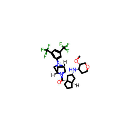 CO[C@@H]1COCC[C@@H]1N[C@@H]1C[C@H]2CCC[C@@]2(C(=O)N2C[C@@H]3C[C@H]2CN3c2cc(C(F)(F)F)cc(C(F)(F)F)c2)C1